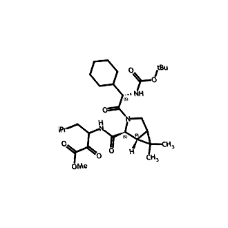 COC(=O)C(=O)C(CC(C)C)NC(=O)[C@@H]1[C@@H]2C(CN1C(=O)[C@@H](NC(=O)OC(C)(C)C)C1CCCCC1)C2(C)C